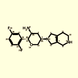 N[C@H]1C[C@@H](N2CC3=C(CNCC3)C2)CO[C@@H]1c1cc(F)ccc1F